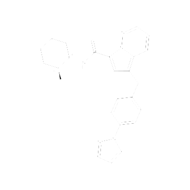 O=C(N[C@H]1CCCC[C@@H]1O)c1cc(Cc2ccc(-n3cccn3)cc2)c2cccnn12